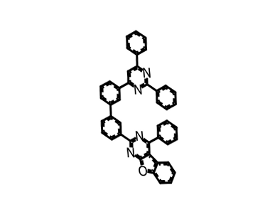 c1ccc(-c2cc(-c3cccc(-c4cccc(-c5nc(-c6ccccc6)c6c(n5)oc5ccccc56)c4)c3)nc(-c3ccccc3)n2)cc1